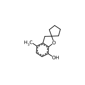 Cc1ccc(O)c2c1CC1(CCCC1)O2